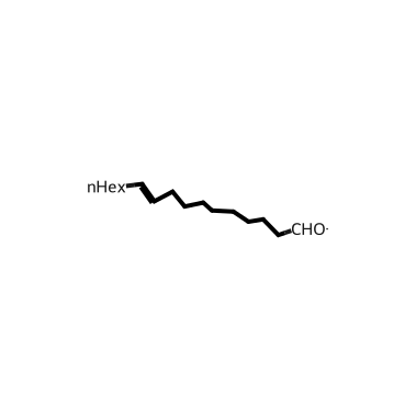 CCCCCCC=CCCCCCCCC[C]=O